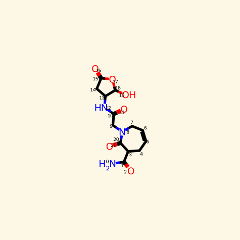 NC(=O)C1CC=CCN(CC(=O)NC2CC(=O)OC2O)C1=O